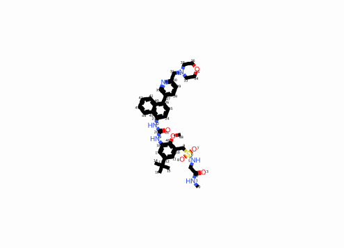 CNC(=O)CNS(=O)(=O)Cc1cc(C(C)(C)C)cc(NC(=O)Nc2ccc(-c3ccc(CN4CCOCC4)nc3)c3ccccc23)c1OC